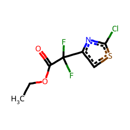 CCOC(=O)C(F)(F)c1csc(Cl)n1